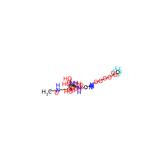 CCCCC(=O)NCCCCCCO[C@]1(C(=O)O)C[C@H](O)[C@@H](NC(=O)CO)[C@H]([C@H](O)[C@H](O)CNC(=O)Cc2ccc(-c3cn(CCOCCOCCOCCOCCC(=O)Oc4c(F)c(F)c(F)c(F)c4F)nn3)cc2)O1